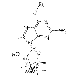 CCOc1nc(N)nc2c1nc(C)n2[C@@H]1O[C@](C)(C(C)(C)OC)[C@@](C)(OC)[C@@H]1O